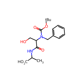 CC(NC(=O)C(CO)N(Cc1ccccc1)C(=O)OC(C)(C)C)C(=O)O